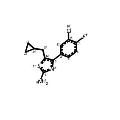 Nc1nc(-c2ccc(F)c(Cl)c2)c(CC2CC2)s1